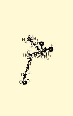 CC(C)(C)[C@H](c1cc(-c2cc(F)ccc2F)cn1Cc1ccccc1)N(CCCNC(=O)OCC[Si](C)(C)C)C(=O)CSC[C@H](NC(=O)CCOCCOCCNC(=O)CCN1C(=O)C=CC1=O)C(=O)O